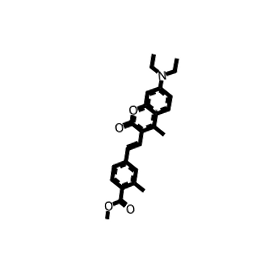 CCN(CC)c1ccc2c(C)c(/C=C/c3ccc(C(=O)OC)c(C)c3)c(=O)oc2c1